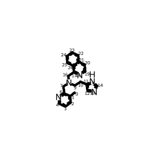 Cc1cccnc1CN(CCc1cnc[nH]1)Cc1nccc2ccccc12